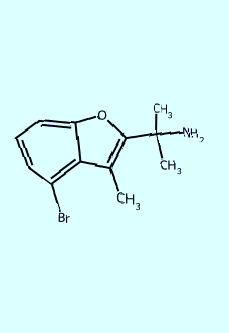 Cc1c(C(C)(C)N)oc2cccc(Br)c12